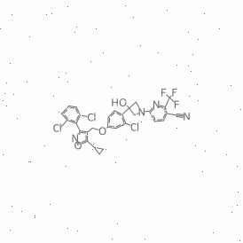 N#Cc1ccc(N2CC(O)(c3ccc(OCc4c(-c5c(Cl)cccc5Cl)noc4C4CC4)cc3Cl)C2)nc1C(F)(F)F